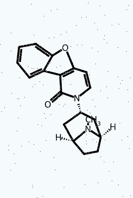 CN1[C@@H]2CC[C@H]1C[C@H](n1ccc3oc4ccccc4c3c1=O)C2